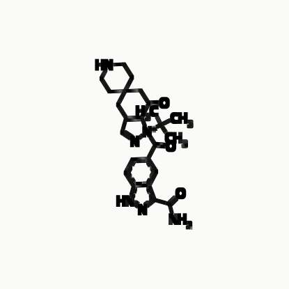 CC(C)(C)[N+]1(C(=O)c2ccc3[nH]nc(C(N)=O)c3c2)N=CC2=C1C(=O)CC1(CCNCC1)C2